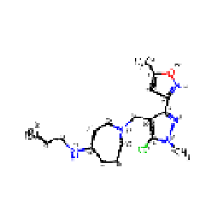 Cc1cc(-c2nn(C)c(Cl)c2CN2CCCC(NCCC(C)(C)C)CC2)no1